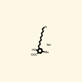 CC(C)CCCCCCCCCc1cc(C(C)(C)C)cc(C(=O)[O-])c1O.[Na+]